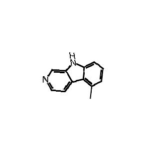 Cc1cccc2[nH]c3cnccc3c12